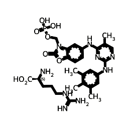 Cc1cnc(Nc2cc(C)c(C)c(C)c2)nc1Nc1ccc2oc(=O)n(COP(=O)(O)O)c2c1.N=C(N)NCCC[C@H](N)C(=O)O